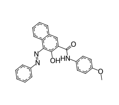 COc1ccc(NC(=O)c2cc3ccccc3c(N=Nc3ccccc3)c2O)cc1